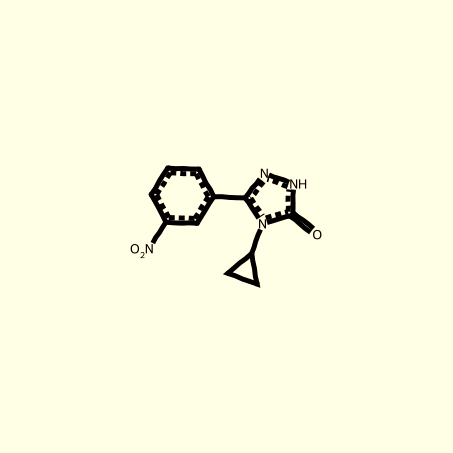 O=c1[nH]nc(-c2cccc([N+](=O)[O-])c2)n1C1CC1